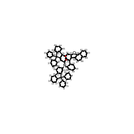 c1ccc(C2(c3ccccc3)c3ccccc3-c3ccc(N(c4ccc5c(c4)C(c4ccccc4)(c4ccccc4)c4ccccc4-5)c4ccccc4-c4cccc5oc6c7ccccc7ccc6c45)cc32)cc1